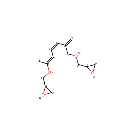 C=C(/C=C\C=C(/C)OCC1CO1)COCC1CO1